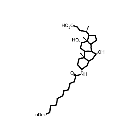 CCCCCCCCCCCCCCCCCCCC(=O)N[C@H]1CC[C@@]2(C)C(C1)C[C@@H](O)C1C2C[C@H](O)[C@@]2(C)C1CC[C@@H]2[C@H](C)CCC(=O)O